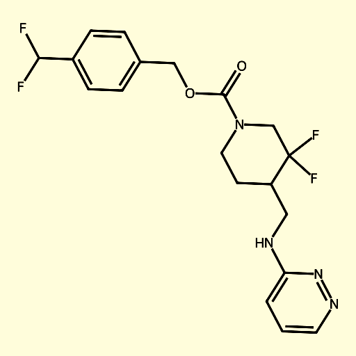 O=C(OCc1ccc(C(F)F)cc1)N1CCC(CNc2cccnn2)C(F)(F)C1